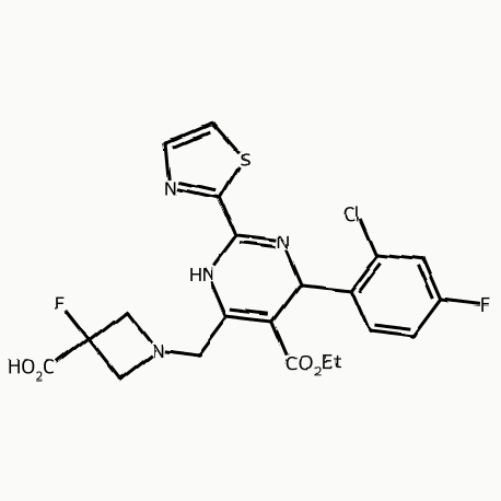 CCOC(=O)C1=C(CN2CC(F)(C(=O)O)C2)NC(c2nccs2)=NC1c1ccc(F)cc1Cl